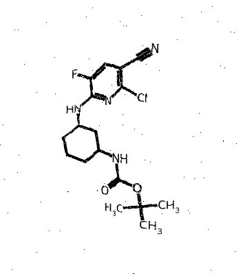 CC(C)(C)OC(=O)NC1CCC[C@@H](Nc2nc(Cl)c(C#N)cc2F)C1